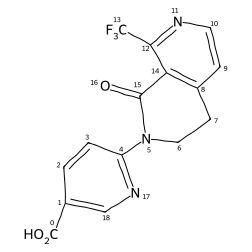 O=C(O)c1ccc(N2CCc3ccnc(C(F)(F)F)c3C2=O)nc1